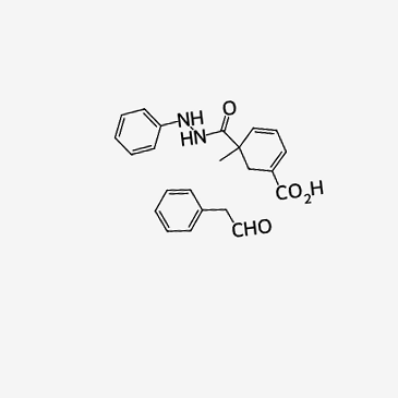 CC1(C(=O)NNc2ccccc2)C=CC=C(C(=O)O)C1.O=CCc1ccccc1